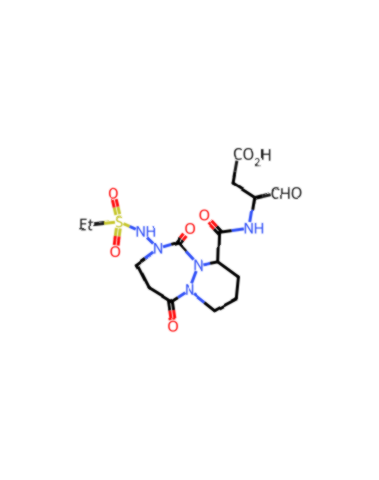 CCS(=O)(=O)NN1CCC(=O)N2CCCC(C(=O)NC(C=O)CC(=O)O)N2C1=O